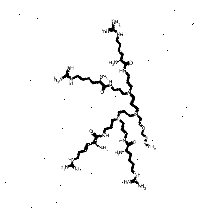 CSSCOCCN(CCCN(CCCNC(=O)[C@@H](N)CCCCNC(=N)N)CCCNC(=O)[C@@H](N)CCCCNC(=N)N)CCCN(CCCNC(=O)[C@@H](N)CCCCNC(=N)N)CCCNC(=O)[C@@H](N)CCCCNC(=N)N